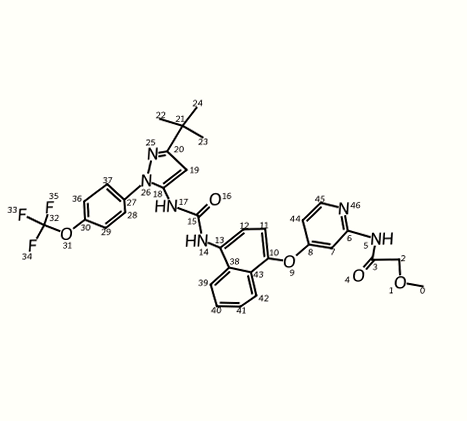 COCC(=O)Nc1cc(Oc2ccc(NC(=O)Nc3cc(C(C)(C)C)nn3-c3ccc(OC(F)(F)F)cc3)c3ccccc23)ccn1